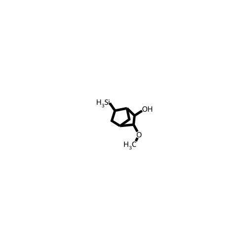 COC1C2CC([SiH3])C(C2)C1O